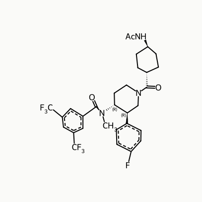 CC(=O)N[C@H]1CC[C@H](C(=O)N2CC[C@@H](N(C)C(=O)c3cc(C(F)(F)F)cc(C(F)(F)F)c3)[C@H](c3ccc(F)cc3)C2)CC1